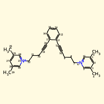 Cc1cc(C)c[n+](CCCC#Cc2ccccc2C#CCCC[n+]2cc(C)cc(C)c2)c1